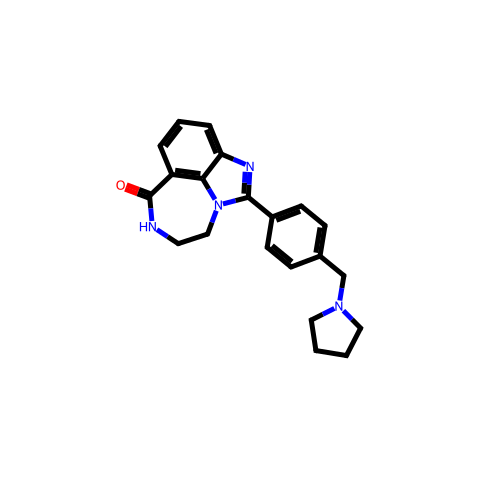 O=C1NCCn2c(-c3ccc(CN4CCCC4)cc3)nc3cccc1c32